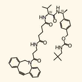 CC(C)[C@H](NC(=O)CCCC(=O)NCCC(=O)N1Cc2ccccc2C#Cc2ccccc21)C(=O)N[C@@H](C)c1ccc(COC(=O)NCC(C)(C)C)cc1